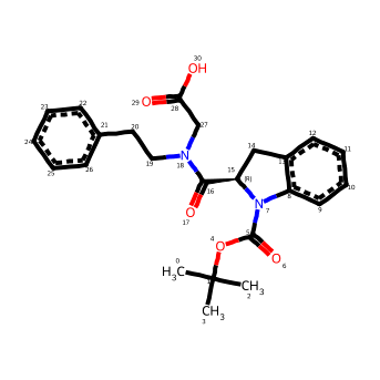 CC(C)(C)OC(=O)N1c2ccccc2C[C@@H]1C(=O)N(CCc1ccccc1)CC(=O)O